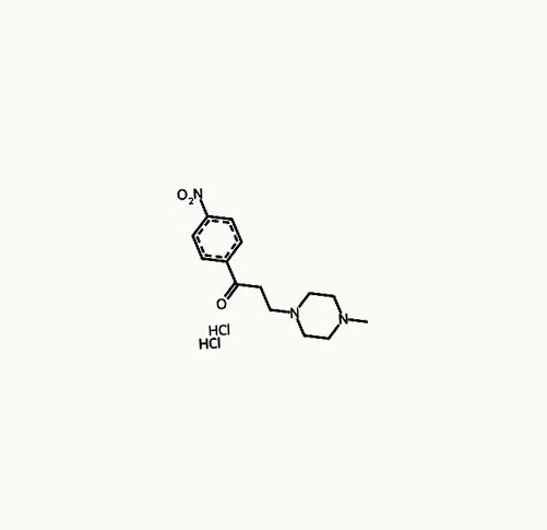 CN1CCN(CCC(=O)c2ccc([N+](=O)[O-])cc2)CC1.Cl.Cl